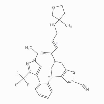 CCn1cc(-c2ccccc2[C@@H]2CN(C(=O)/C=C/CNC3(C)CCOC3)Cc3sc(C#N)cc32)c(C(F)(F)F)n1